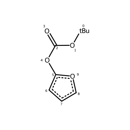 CC(C)(C)OC(=O)Oc1ccco1